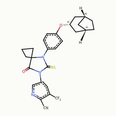 N#Cc1ncc(N2C(=O)C3(CCC3)N(c3ccc(O[C@@H]4C[C@@H]5CC[C@@H](C5)C4)cc3)C2=S)cc1C(F)(F)F